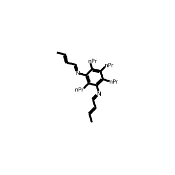 CC=CC=Nc1c(CCC)c(CCC)c(CCC)c(N=CC=CC)c1CCC